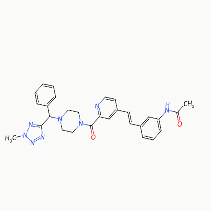 CC(=O)Nc1cccc(/C=C/c2ccnc(C(=O)N3CCN(C(c4ccccc4)c4nnn(C)n4)CC3)c2)c1